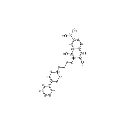 O=C(O)c1ccc2[nH]c(=O)n(CCCCN3CC=C(c4ccccc4)CC3)c(=O)c2c1